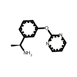 C[C@H](N)c1cccc(Oc2ncccn2)c1